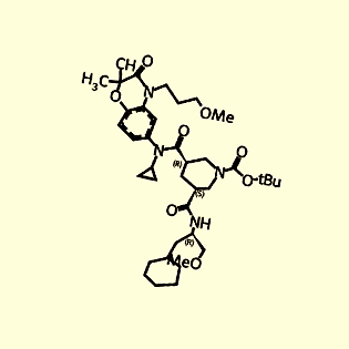 COCCCN1C(=O)C(C)(C)Oc2ccc(N(C(=O)[C@@H]3C[C@H](C(=O)N[C@@H](COC)CC4CCCCC4)CN(C(=O)OC(C)(C)C)C3)C3CC3)cc21